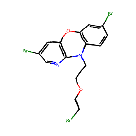 BrCCOCCN1c2ccc(Br)cc2Oc2cc(Br)cnc21